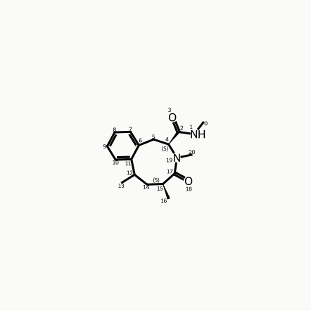 CNC(=O)[C@@H]1Cc2ccccc2C(C)C[C@H](C)C(=O)N1C